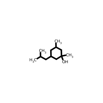 CC(C)CC1CC(C)CC(C)(O)C1